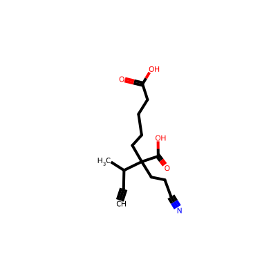 C#CC(C)C(CCC#N)(CCCCC(=O)O)C(=O)O